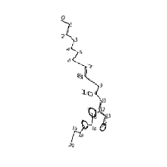 CCCCCCCCCCCC=C(C=O)OCOCCC